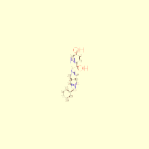 Oc1ccc(C(O)CN2CC3CN(Cc4ccccc4)CC3C2)nc1